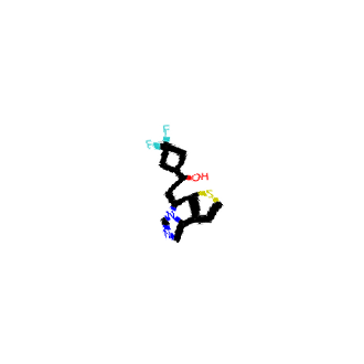 OC(CC1c2sccc2-c2cncn21)C1CC(F)(F)C1